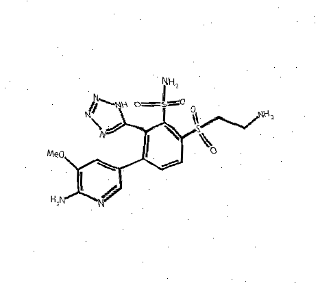 COc1cc(-c2ccc(S(=O)(=O)CCN)c(S(N)(=O)=O)c2-c2nnn[nH]2)cnc1N